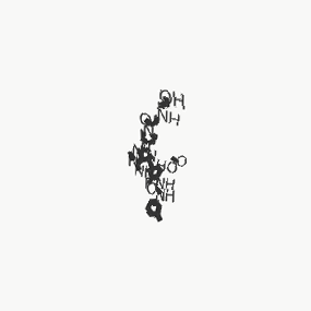 CC(=O)O.Cc1cccc(NC(=O)Nc2ccc(-c3nn(C4CCN(C(=O)CCNCCO)CC4)c4ncnc(N)c34)cc2F)c1